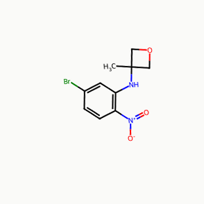 CC1(Nc2cc(Br)ccc2[N+](=O)[O-])COC1